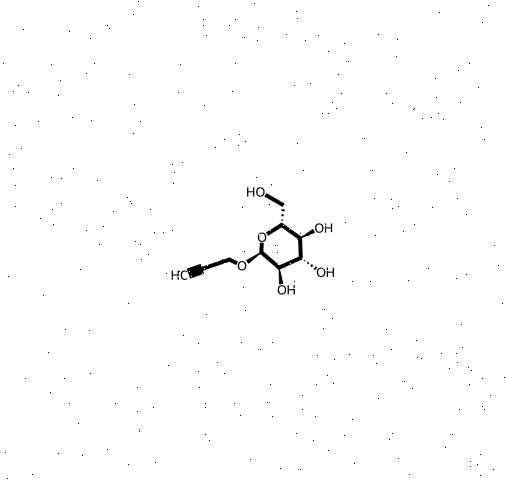 C#CCO[C@H]1O[C@H](CO)[C@@H](O)[C@H](O)[C@H]1O